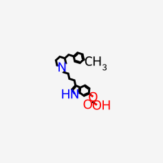 Cc1ccc(CC2CCCN(CCCCc3c[nH]c4cc(OC(=O)O)ccc34)C2)cc1